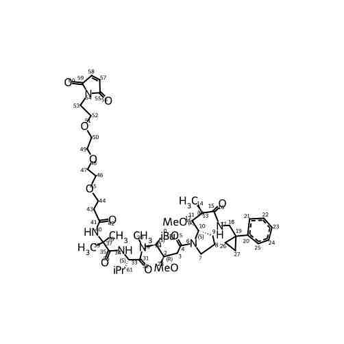 CC[C@H](C)[C@@H]([C@@H](CC(=O)N1CCC[C@H]1[C@H](OC)[C@@H](C)C(=O)NCC1(c2ccccc2)CC1)OC)N(C)C(=O)[C@@H](NC(=O)C(C)(C)NC(=O)CCOCCOCCOCCN1C(=O)C=CC1=O)C(C)C